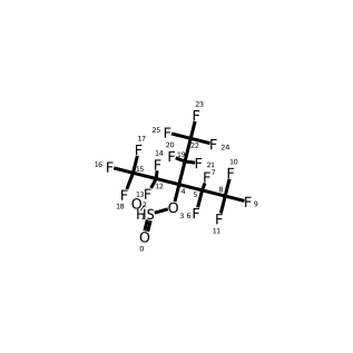 O=[SH](=O)OC(C(F)(F)C(F)(F)F)(C(F)(F)C(F)(F)F)C(F)(F)C(F)(F)F